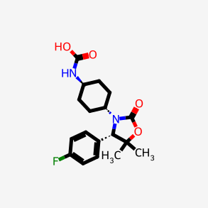 CC1(C)OC(=O)N([C@H]2CC[C@H](NC(=O)O)CC2)[C@H]1c1ccc(F)cc1